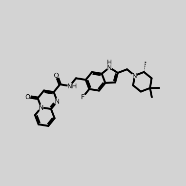 C[C@@H]1CC(C)(C)CCN1Cc1cc2cc(F)c(CNC(=O)c3cc(=O)n4ccccc4n3)cc2[nH]1